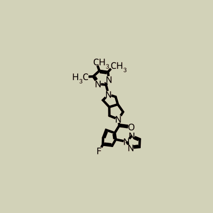 Cc1nc(N2CC3CN(C(=O)c4ccc(F)cc4-n4nccn4)CC3C2)nc(C)c1C